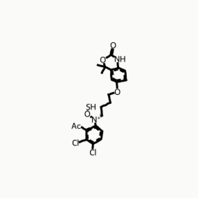 CC(=O)c1c([N+](=CCCCOc2ccc3c(c2)C(C)(C)OC(=O)N3)OS)ccc(Cl)c1Cl